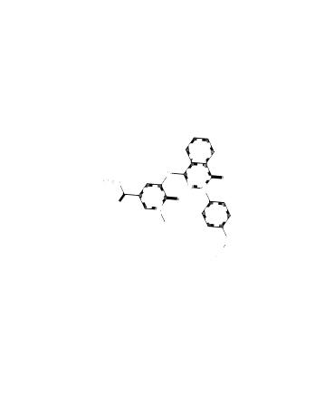 CNC(=O)c1cc(Nc2nn(-c3ccc(OC(F)(F)F)cc3)c(=O)c3ccccc23)c(=O)n(C)c1